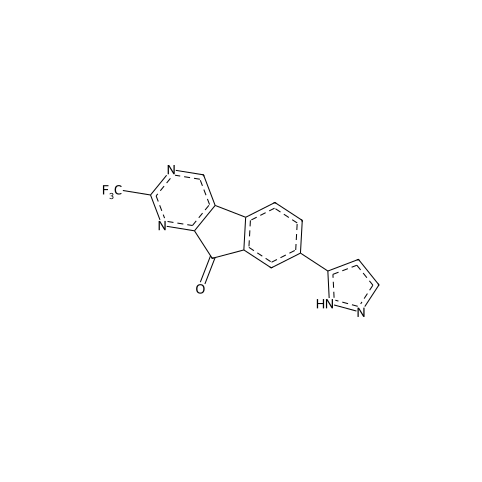 O=C1c2cc(-c3ccn[nH]3)ccc2-c2cnc(C(F)(F)F)nc21